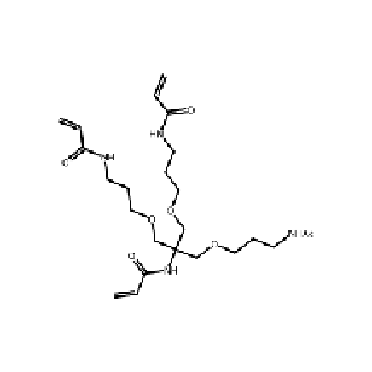 C=CC(=O)NCCCOCC(COCCCNC(C)=O)(COCCCNC(=O)C=C)NC(=O)C=C